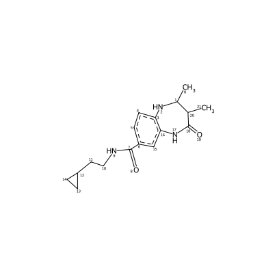 CC1Nc2ccc(C(=O)NCCC3CC3)cc2NC(=O)C1C